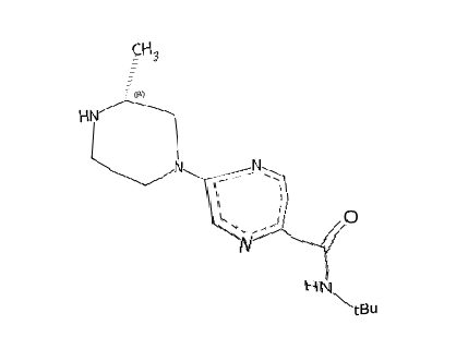 C[C@@H]1CN(c2cnc(C(=O)NC(C)(C)C)cn2)CCN1